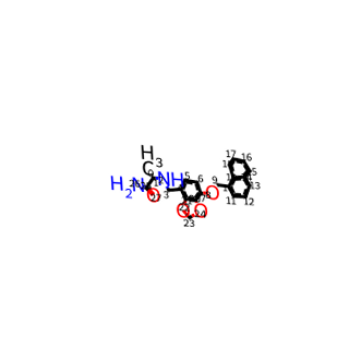 C[C@H](NCc1ccc(OCc2cccc3ccccc23)c2c1OCO2)C(N)=O